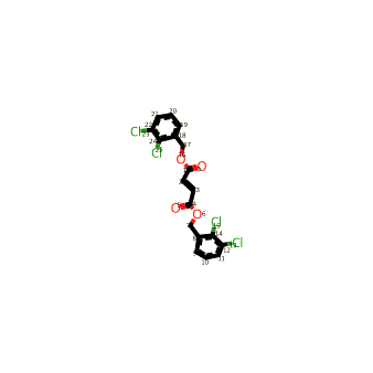 O=C(/C=C/C(=O)OCc1cccc(Cl)c1Cl)OCc1cccc(Cl)c1Cl